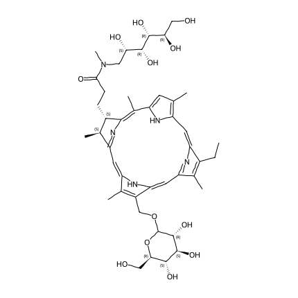 CCC1=C(C)c2cc3[nH]c(cc4nc(c(C)c5cc(C)c(cc1n2)[nH]5)[C@@H](CCC(=O)N(C)C[C@H](O)[C@@H](O)[C@H](O)[C@H](O)CO)[C@@H]4C)c(C)c3COC1O[C@H](CO)[C@@H](O)[C@H](O)[C@H]1O